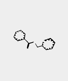 O=C(OCc1ccccn1)c1ccccc1